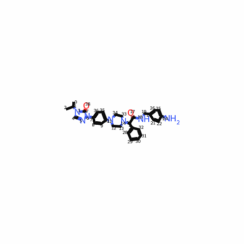 CC(C)n1cnn(-c2ccc(N3CCN(C(C(=O)NCc4ccc(N)cc4)c4ccccc4)CC3)cc2)c1=O